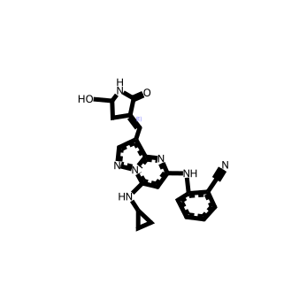 N#Cc1ccccc1Nc1cc(NC2CC2)n2ncc(/C=C3\CC(O)NC3=O)c2n1